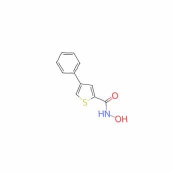 O=C(NO)c1cc(-c2ccccc2)cs1